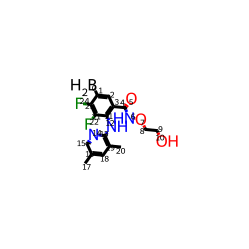 Bc1cc(C(=O)NOCCO)c(Nc2ncc(C)cc2C)c(F)c1F